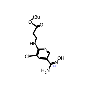 CC(C)(C)OC(=O)CCNc1ncc(/C(N)=N\O)cc1Cl